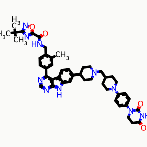 Cc1cc(-c2ncnc3[nH]c4cc(C5CCN(CC6CCN(c7ccc(N8CCC(=O)NC8=O)cc7)CC6)CC5)ccc4c23)ccc1CNC(=O)c1nc(C(C)(C)C)no1